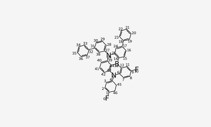 FC1=CC=C(N2c3ccc(F)cc3B3c4ccc(-c5ccccc5)cc4N(c4cccc(-c5ccccc5)c4)c4cccc2c43)CC1